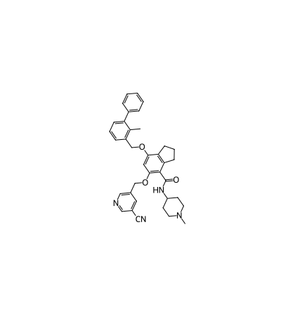 Cc1c(COc2cc(OCc3cncc(C#N)c3)c(C(=O)NC3CCN(C)CC3)c3c2CCC3)cccc1-c1ccccc1